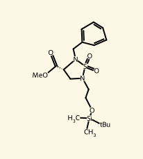 COC(=O)[C@H]1CN(CCO[Si](C)(C)C(C)(C)C)S(=O)(=O)N1Cc1ccccc1